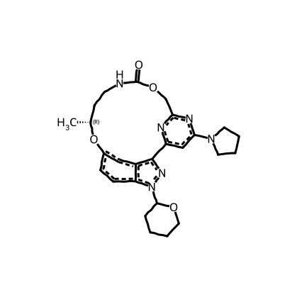 C[C@@H]1CCNC(=O)OCc2nc(cc(N3CCCC3)n2)-c2nn(C3CCCCO3)c3ccc(cc23)O1